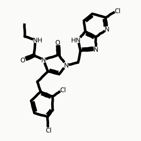 CCNC(=O)n1c(Cc2ccc(Cl)cc2Cl)cn(Cc2nc3nc(Cl)ccc3[nH]2)c1=O